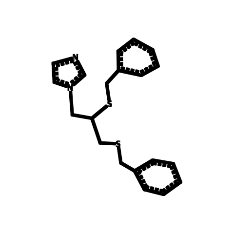 c1ccc(CSCC(Cn2ccnc2)SCc2ccccc2)cc1